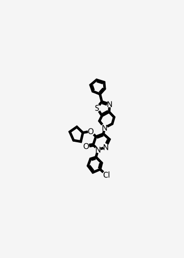 O=c1c(OC2CCCC2)c(N2CCc3nc(-c4ccccc4)sc3C2)cnn1-c1cccc(Cl)c1